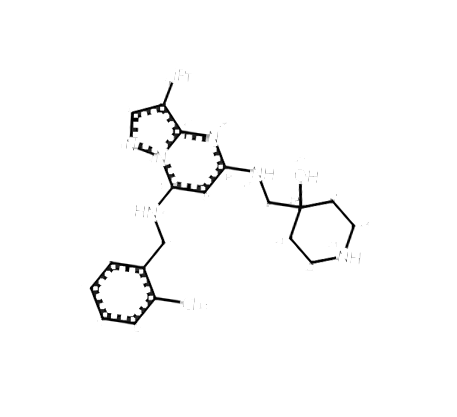 CC(C)c1cnn2c(NCc3ccccc3Cl)cc(NCC3(O)CCNCC3)nc12